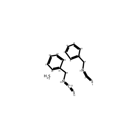 S.S=C=NCc1ccccc1.S=C=NCc1ccccc1